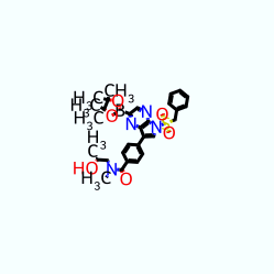 C[C@@H](O)CN(C)C(=O)c1ccc(-c2cn(S(=O)(=O)Cc3ccccc3)c3ncc(B4OC(C)(C)C(C)(C)O4)nc23)cc1